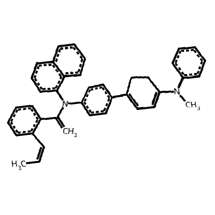 C=C(c1ccccc1/C=C\C)N(c1ccc(C2=CC=C(N(C)c3ccccc3)CC2)cc1)c1cccc2ccccc12